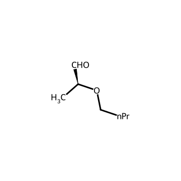 CCCCO[C@@H](C)C=O